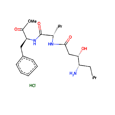 COC(=O)[C@H](Cc1ccccc1)NC(=O)[C@@H](NC(=O)C[C@H](O)[C@@H](N)CC(C)C)C(C)C.Cl